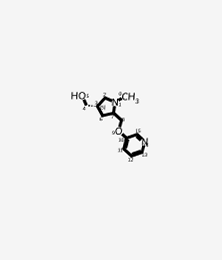 CN1C[C@@H](CO)CC1COc1cccnc1